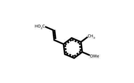 COc1ccc(C=CC(=O)O)cc1C